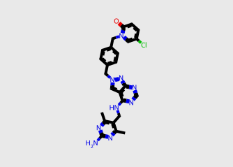 Cc1nc(N)nc(C)c1CNc1ncnc2nn(Cc3ccc(Cn4cc(Cl)ccc4=O)cc3)cc12